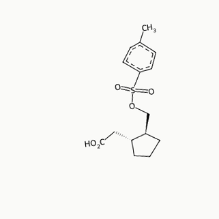 Cc1ccc(S(=O)(=O)OC[C@H]2CCC[C@@H]2CC(=O)O)cc1